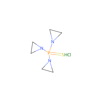 Cl.S=P(N1CC1)(N1CC1)N1CC1